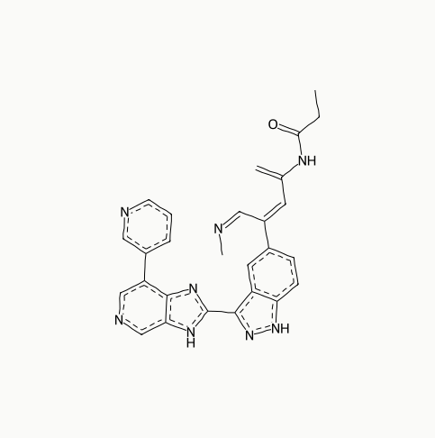 C=C(/C=C(\C=N/C)c1ccc2[nH]nc(-c3nc4c(-c5cccnc5)cncc4[nH]3)c2c1)NC(=O)CC